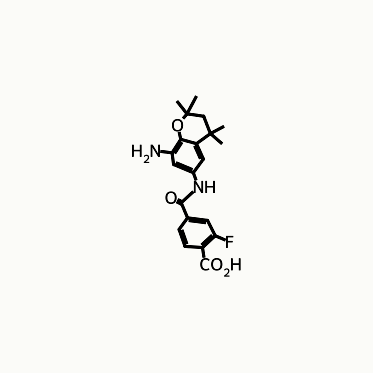 CC1(C)CC(C)(C)c2cc(NC(=O)c3ccc(C(=O)O)c(F)c3)cc(N)c2O1